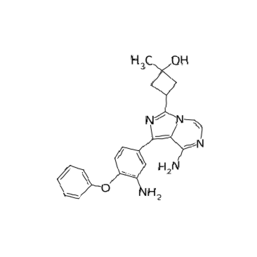 CC1(O)CC(c2nc(-c3ccc(Oc4ccccc4)c(N)c3)c3c(N)nccn23)C1